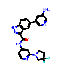 Nc1cncc(-c2ccc3[nH]nc(C(=O)Nc4ccnc(N5CCC(F)(F)C5)c4)c3c2)c1